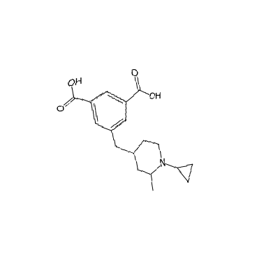 CC1CC(Cc2cc(C(=O)O)cc(C(=O)O)c2)CCN1C1CC1